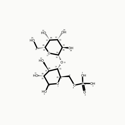 O=P(O)(O)OC[C@H]1OC(O)[C@H](O)[C@@H](O)[C@@H]1O[C@@H]1O[C@H](CO)[C@H](O)[C@H](O)[C@H]1O